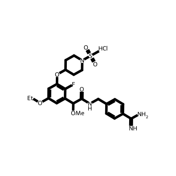 CCOc1cc(OC2CCN(S(C)(=O)=O)CC2)c(F)c(C(OC)C(=O)NCc2ccc(C(=N)N)cc2)c1.Cl